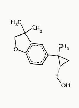 CC1(C)COc2ccc([C@@]3(C)C[C@@H]3CO)cc21